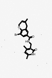 CC1=CCOc2c(Br)cc(C(=O)NCc3c(C)cc(C)[nH]c3=O)cc2C1